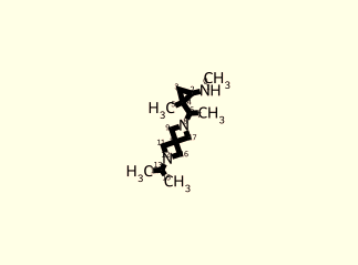 CNC1CC1(C)C(C)N1CC2(CN(C(C)C)C2)C1